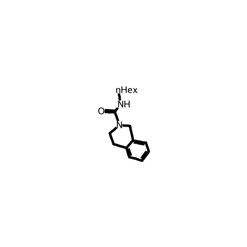 CCCCCCNC(=O)N1CCc2ccccc2C1